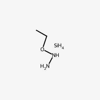 CCONN.[SiH4]